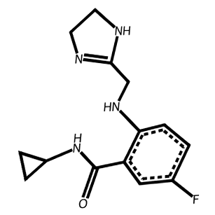 O=C(NC1CC1)c1cc(F)ccc1NCC1=NCCN1